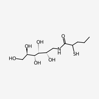 CCCC(S)C(=O)NC[C@H](O)[C@@H](O)[C@H](O)[C@H](O)CO